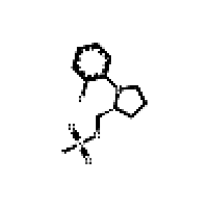 CS(=O)(=O)OC[C@@H]1CCCN1c1ccccc1Cl